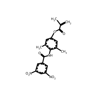 C=C(C)C(=O)Oc1cc(C)c(NC(=O)c2cc([N+](=O)[O-])cc([N+](=O)[O-])c2)c(C)c1